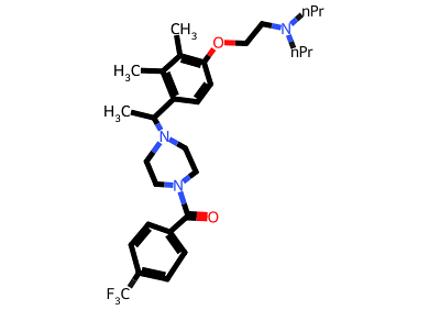 CCCN(CCC)CCOc1ccc(C(C)N2CCN(C(=O)c3ccc(C(F)(F)F)cc3)CC2)c(C)c1C